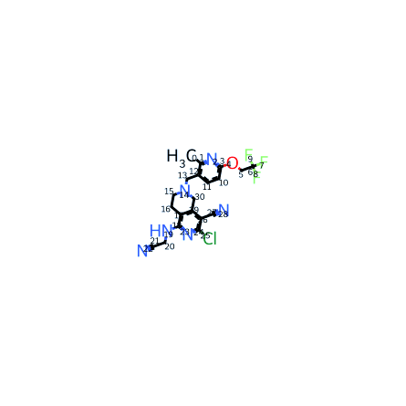 Cc1nc(OCC(F)(F)F)ccc1CN1CCc2c(NCC#N)nc(Cl)c(C#N)c2C1